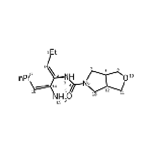 CC/C=C(NC(=O)N1CC2COCC2C1)/C(N)=C\CCC